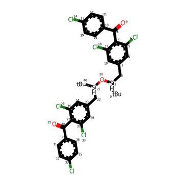 CC(C)(C)[SiH](Cc1cc(Cl)c(C(=O)c2ccc(Cl)cc2)c(Cl)c1)O[SiH](Cc1cc(Cl)c(C(=O)c2ccc(Cl)cc2)c(Cl)c1)C(C)(C)C